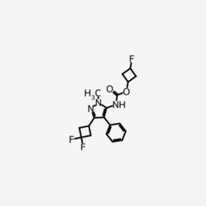 Cn1nc(C2CC(F)(F)C2)c(-c2ccccc2)c1NC(=O)OC1CC(F)C1